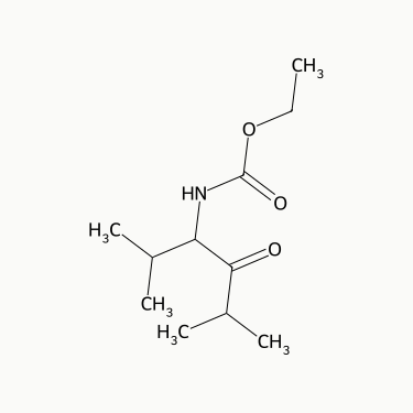 CCOC(=O)NC(C(=O)C(C)C)C(C)C